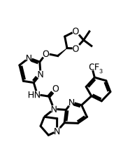 CC1(C)OC[C@H](COc2nccc(NC(=O)N3c4nc(-c5cccc(C(F)(F)F)c5)ccc4N4CCC3C4)n2)O1